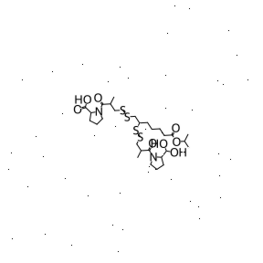 CC(C)OC(=O)CCCCC(CSSCC(C)C(=O)N1CCCC1C(=O)O)SSCC(C)C(=O)N1CCCC1C(O)O